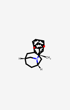 C[C@H](c1ccccc1)N1C[C@@H]2CC[C@H]1Cc1ccccc1C2